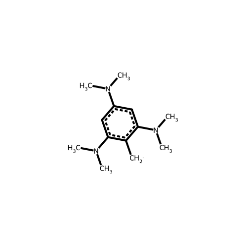 [CH2]c1c(N(C)C)cc(N(C)C)cc1N(C)C